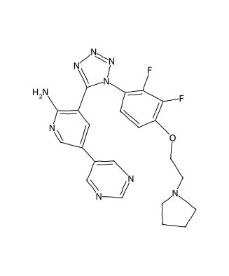 Nc1ncc(-c2cncnc2)cc1-c1nnnn1-c1ccc(OCCN2CCCC2)c(F)c1F